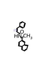 C[C@H](NC(=O)/C=C\c1ccccc1)c1ccc2ccccc2c1